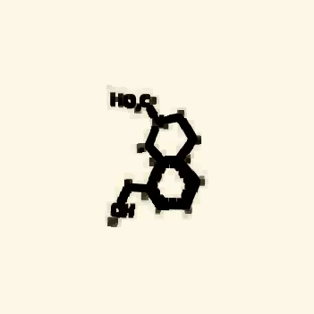 O=C(O)N1CCc2cccc(CO)c2C1